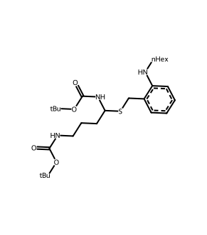 CCCCCCNc1ccccc1CSC(CCCNC(=O)OC(C)(C)C)NC(=O)OC(C)(C)C